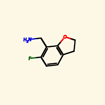 NCc1c(F)ccc2c1OCC2